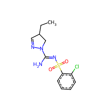 CCC1C=NN(/C(N)=N/S(=O)(=O)c2ccccc2Cl)C1